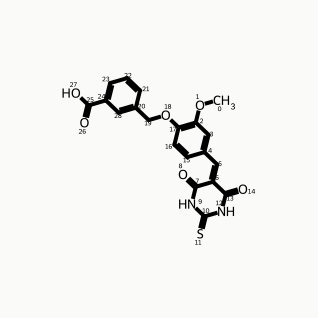 COc1cc(C=C2C(=O)NC(=S)NC2=O)ccc1OCc1cccc(C(=O)O)c1